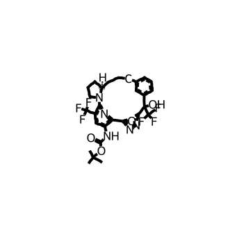 CC(C)(C)OC(=O)Nc1cc(C(F)(F)F)c2nc1-c1nnc(o1)C(O)(C(F)(F)F)c1cccc(c1)CCC[C@@H]1CCCN21